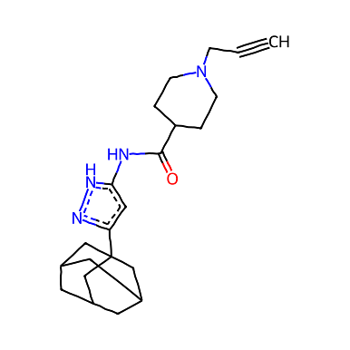 C#CCN1CCC(C(=O)Nc2cc(C34CC5CC(CC(C5)C3)C4)n[nH]2)CC1